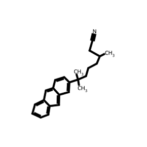 CC(CC#N)CCCC(C)(C)c1ccc2cc3ccccc3cc2c1